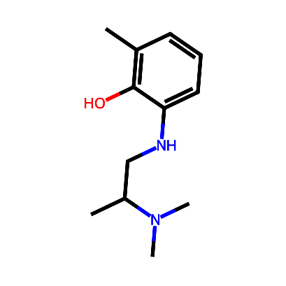 Cc1cccc(NCC(C)N(C)C)c1O